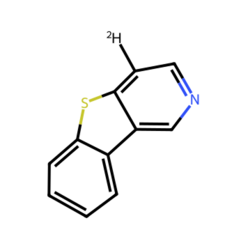 [2H]c1cncc2c1sc1ccccc12